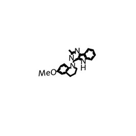 COc1ccc2c(c1)CCCN2c1nc(C)nc2c1[nH]c1ccccc12